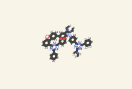 C/C=c1\c(=C/C)n(-c2ccc(-c3nc(/C(C)=C/C)nc(-c4ccccc4)n3)cc2)c2ccc(-c3ccc4oc5cccc(-c6nc(-c7ccccc7)nc(-c7ccccc7)n6)c5c4c3)cc12